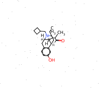 CCC1C(C)C(=O)C[C@]23CCN(CC4CCC4)[C@H](Cc4ccc(O)cc42)[C@H]13